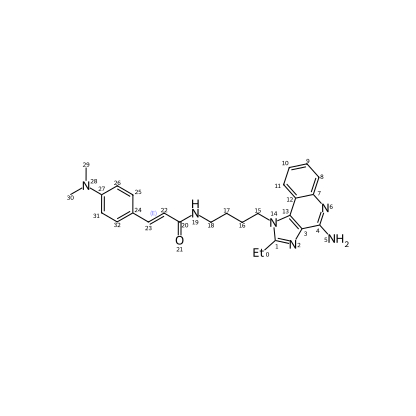 CCc1nc2c(N)nc3ccccc3c2n1CCCCNC(=O)/C=C/c1ccc(N(C)C)cc1